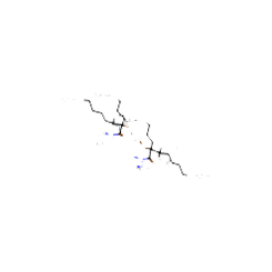 COCCCCC(C)(C(C)(C)C)C(CCCOC)(SSSSC(CCCOC)(C(=S)N(C)OC)C(C)(CCCCOC)C(C)(C)C)C(=S)N(C)OC